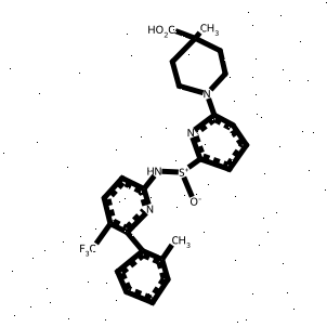 Cc1ccccc1-c1nc(N[S+]([O-])c2cccc(N3CCC(C)(C(=O)O)CC3)n2)ccc1C(F)(F)F